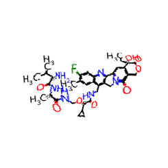 CC[C@@]1(O)C(=O)OCc2c1cc1n(c2=O)Cc2c-1nc1cc(F)c(C)cc1c2CNC(=O)[C@H](OCNC(=O)[C@H](C)NC(=O)[C@@H](N)C(C)C)C1CC1